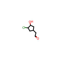 O=CCC1CC(O)C(Cl)C1